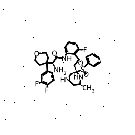 C[C@@H]1CNC[C@](CCc2c(F)cccc2NC(=O)[C@@H](N)C2(c3ccc(F)c(F)c3)CCOCC2)(S(=O)(=O)c2ccccc2)N1